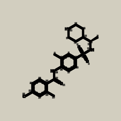 Cc1cc(S(=O)(=O)N[C@H](C)C2CCNCC2)ccc1NC(=O)c1ccc(Cl)cc1C